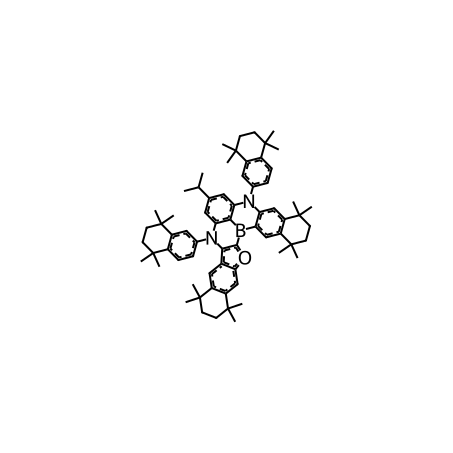 CC(C)c1cc2c3c(c1)N(c1ccc4c(c1)C(C)(C)CCC4(C)C)c1c(oc4cc5c(cc14)C(C)(C)CCC5(C)C)B3c1cc3c(cc1N2c1ccc2c(c1)C(C)(C)CCC2(C)C)C(C)(C)CCC3(C)C